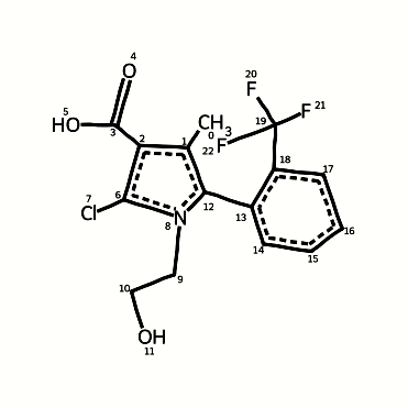 Cc1c(C(=O)O)c(Cl)n(CCO)c1-c1ccccc1C(F)(F)F